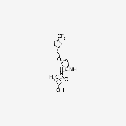 C[C@]1(C(=O)Nc2c[nH]c3ccc(OCCc4ccc(C(F)(F)F)cc4)cc23)C[C@@H](O)C1